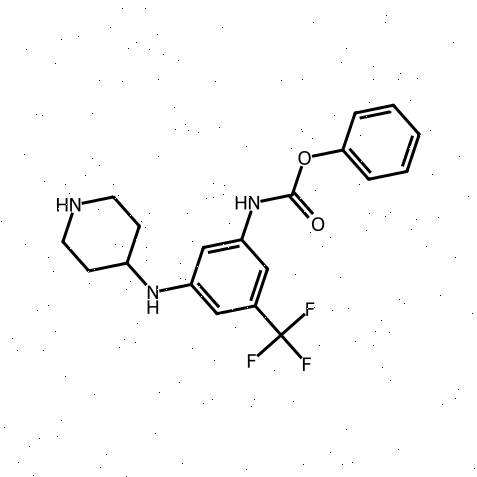 O=C(Nc1cc(NC2CCNCC2)cc(C(F)(F)F)c1)Oc1ccccc1